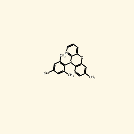 Cc1cnc2c(c1)Oc1cccnc1N2c1c(C)cc(C(C)(C)C)cc1C